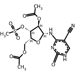 CC(=O)OC[C@H]1O[C@@H](Nc2nc(=O)[nH]cc2C#N)[C@H](OC(C)=O)[C@H]1OS(C)(=O)=O